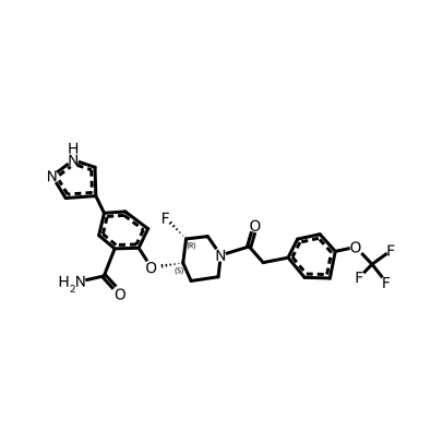 NC(=O)c1cc(-c2cn[nH]c2)ccc1O[C@H]1CCN(C(=O)Cc2ccc(OC(F)(F)F)cc2)C[C@H]1F